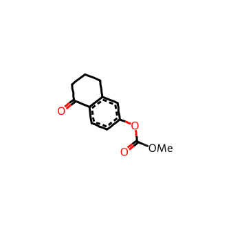 COC(=O)Oc1ccc2c(c1)CCCC2=O